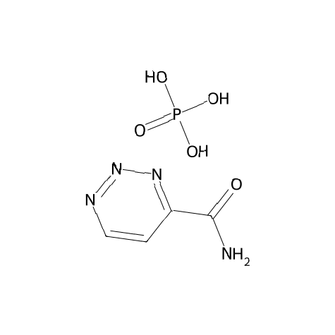 NC(=O)c1ccnnn1.O=P(O)(O)O